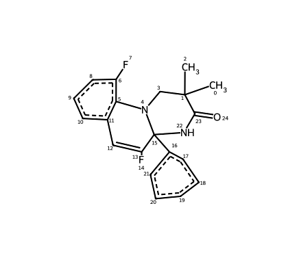 CC1(C)CN2c3c(F)cccc3C=C(F)C2(c2ccccc2)NC1=O